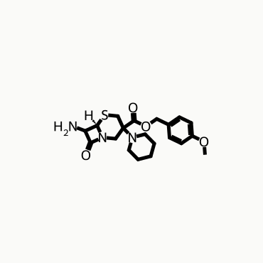 COc1ccc(COC(=O)C2(N3CCCCC3)CS[C@@H]3C(N)C(=O)N3C2)cc1